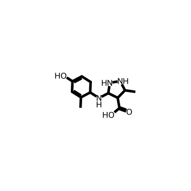 CC1=CC(O)=CCC1NC1NNC(C)C1C(=O)O